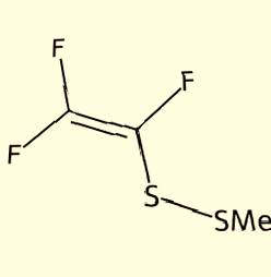 CSSC(F)=C(F)F